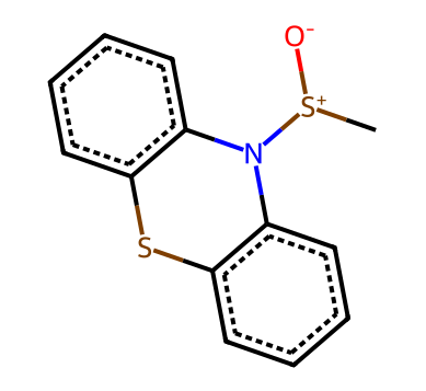 C[S+]([O-])N1c2ccccc2Sc2ccccc21